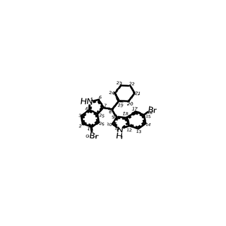 Brc1ccc2[nH]cc(C(c3c[nH]c4ccc(Br)cc34)C3CCCCC3)c2c1